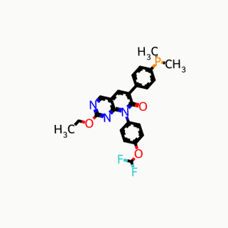 CCOc1ncc2cc(-c3ccc(P(C)C)cc3)c(=O)n(-c3ccc(OC(F)F)cc3)c2n1